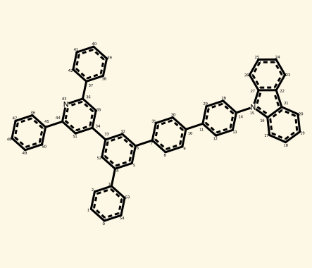 c1ccc(-c2cc(-c3ccc(-c4ccc(-n5c6ccccc6c6ccccc65)cc4)cc3)cc(-c3cc(-c4ccccc4)nc(-c4ccccc4)c3)c2)cc1